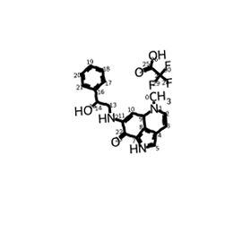 CN1C=Cc2c[nH]c3c2C1C=C(NCC(O)c1ccccc1)C3=O.O=C(O)C(F)(F)F